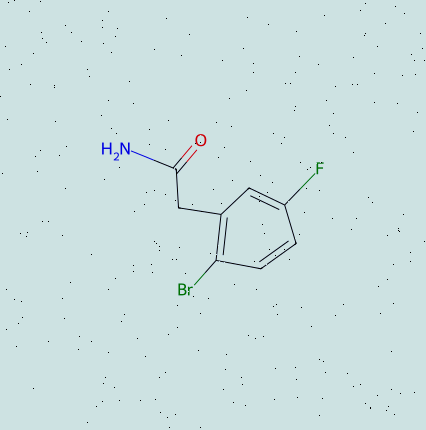 NC(=O)Cc1cc(F)ccc1Br